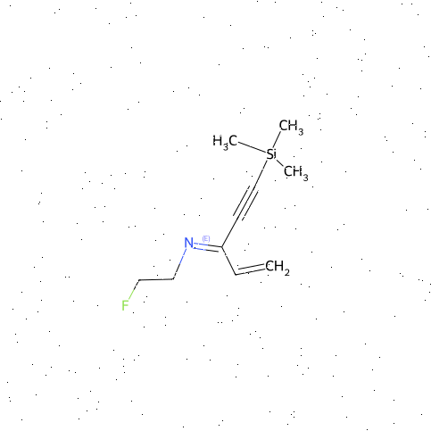 C=C/C(C#C[Si](C)(C)C)=N\CCF